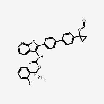 C[C@@H](OC(=O)Nc1c(-c2ccc(-c3ccc(C4(OC=O)CC4)cc3)cc2)sc2ncccc12)c1ccccc1Cl